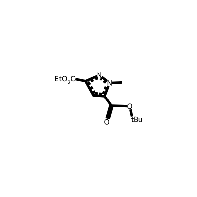 CCOC(=O)c1cc(C(=O)OC(C)(C)C)n(C)n1